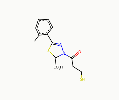 Cc1ccccc1C1=NN(C(=O)CCS)C(C(=O)O)S1